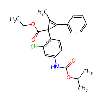 CCOC(=O)C1(c2ccc(NC(=O)OC(C)C)cc2Cl)C(C)=C1c1ccccc1